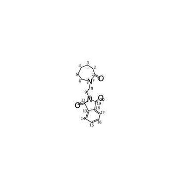 O=C1CCCCCN1CCN1C(=O)c2ccccc2C1=O